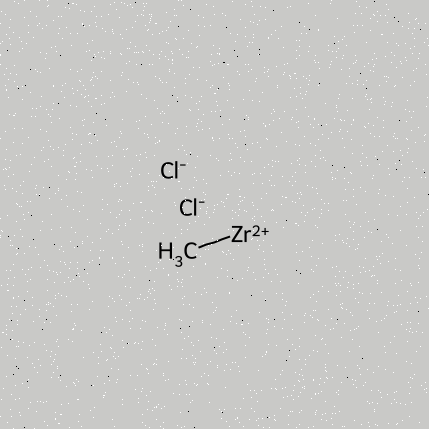 [CH3][Zr+2].[Cl-].[Cl-]